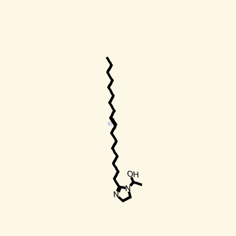 CCCCCCCC/C=C/CCCCCCCC1=NCCN1C(C)O